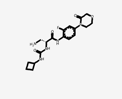 NC[C@@H](NC(=O)NC1CCC1)C(=O)Nc1ccc(N2CCOCC2=O)cc1F